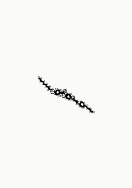 CCCCCCCCCCOc1ccc(C(=O)Oc2ccc(OCC=C[C@H]3CC[C@H](CCCCC)CC3)cc2)cc1